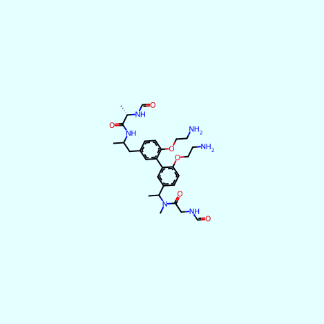 CC(Cc1ccc(OCCN)c(-c2cc(C(C)N(C)C(=O)CNC=O)ccc2OCCN)c1)NC(=O)[C@H](C)NC=O